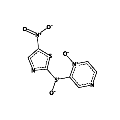 O=[N+]([O-])c1cnc([S+]([O-])c2cncc[n+]2[O-])s1